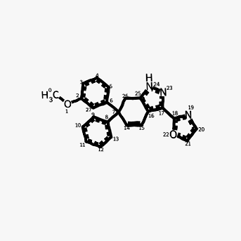 COc1cccc(C2(c3ccccc3)C=Cc3c(-c4ncco4)n[nH]c3C2)c1